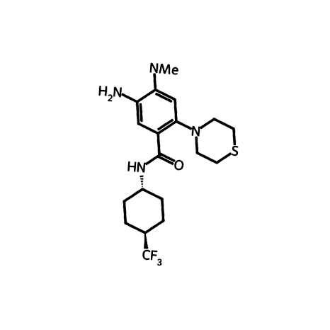 CNc1cc(N2CCSCC2)c(C(=O)N[C@H]2CC[C@H](C(F)(F)F)CC2)cc1N